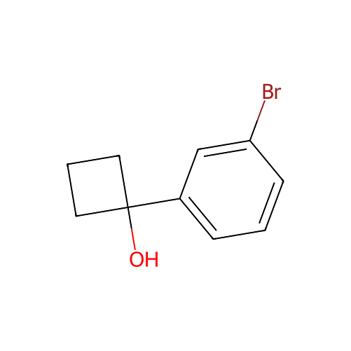 OC1(c2cccc(Br)c2)CCC1